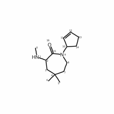 CNC1CC(C)(C)CCN(C2C=CCC2)C1=O